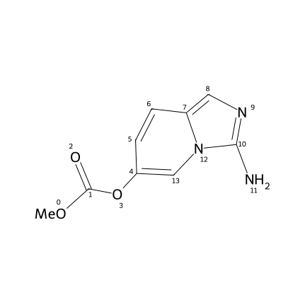 COC(=O)Oc1ccc2cnc(N)n2c1